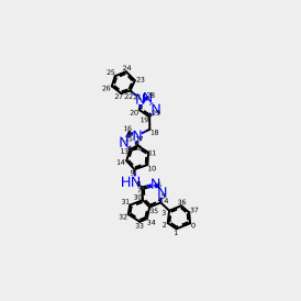 c1ccc(-c2nnc(Nc3ccc4c(c3)ncn4Cc3cn(-c4ccccc4)nn3)c3ccccc23)cc1